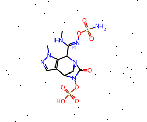 CN/C(=N\OS(N)(=O)=O)C1c2c(cnn2C)C2CN1C(=O)N2OS(=O)(=O)O